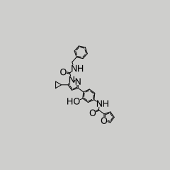 O=C(Nc1ccc(-c2cc(C3CC3)n(C(=O)NCc3ccccc3)n2)c(O)c1)c1ccco1